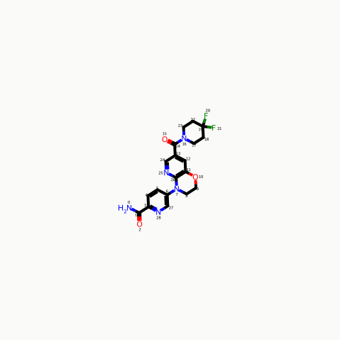 NC(=O)c1ccc(N2CCOc3cc(C(=O)N4CCC(F)(F)CC4)cnc32)cn1